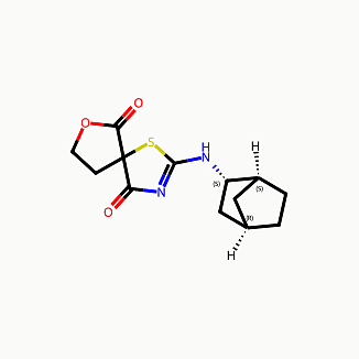 O=C1N=C(N[C@H]2C[C@@H]3CC[C@H]2C3)SC12CCOC2=O